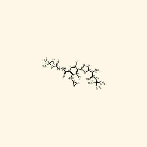 CC(C)(C)OC(=O)NNC(=O)c1cc(F)c(N2CCC(C(N)C(=O)OC(C)(C)C)C2)c(Cl)c1NC1CC1